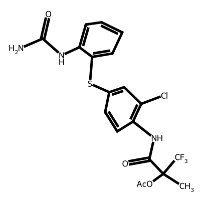 CC(=O)OC(C)(C(=O)Nc1ccc(Sc2ccccc2NC(N)=O)cc1Cl)C(F)(F)F